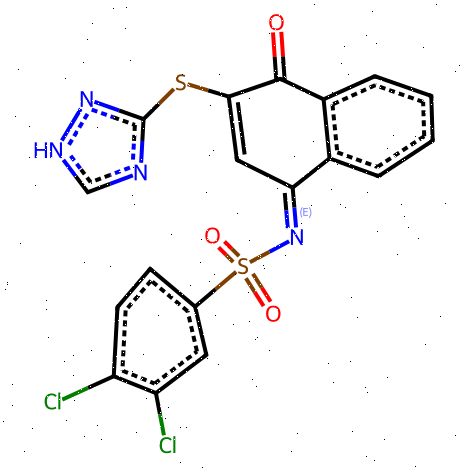 O=C1C(Sc2nc[nH]n2)=C/C(=N\S(=O)(=O)c2ccc(Cl)c(Cl)c2)c2ccccc21